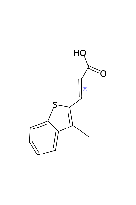 Cc1c(/C=C/C(=O)O)sc2ccccc12